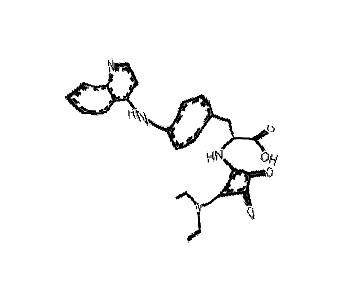 CCN(CC)c1c(N[C@@H](Cc2ccc(Nc3ccnc4ccccc34)cc2)C(=O)O)c(=O)c1=O